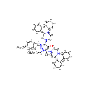 COc1ccc(CNC(C(=O)C(C=O)(N2CCCCC2)N2CCN(c3ccccc3-c3ccccc3)CC2)N2CCN(c3ccccc3-c3ccccc3)CC2)cc1OC